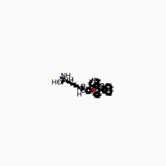 N/C=C(/CO)NCCCCCCNC(=O)OC1CCN(C(=O)c2ccccc2C2=c3cc4c5c(c3Oc3c2cc2c6c3CCCN6CCC2)CC[N+]=5CCC4)CC1